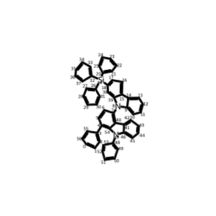 c1ccc(-c2ccc(-n3c4ccccc4c4ccc([Si](c5ccccc5)(c5ccccc5)c5ccccc5)cc43)c3c4ccccc4n(-c4ccccc4)c23)cc1